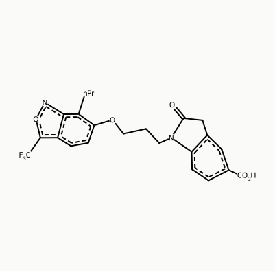 CCCc1c(OCCCN2C(=O)Cc3cc(C(=O)O)ccc32)ccc2c(C(F)(F)F)onc12